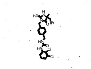 CC(C)CC1(C)NC(=N)N(Cc2ccc(CNC(=O)Nc3cccc(Cl)c3Cl)cc2)C1=O